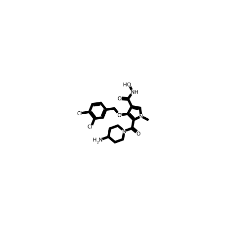 Cn1cc(C(=O)NO)c(OCc2ccc(Cl)c(Cl)c2)c1C(=O)N1CCC(N)CC1